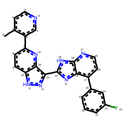 Cc1ccncc1-c1ccc2[nH]nc(-c3nc4c(-c5cccc(F)c5)ccnc4[nH]3)c2n1